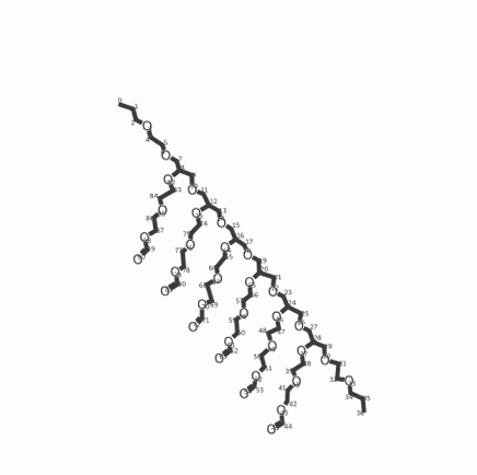 CCCOCCOCC(COCC(COCC(COCC(COCC(COCC(COCCOCCC)OCCOCCOC=O)OCCOCCOC=O)OCCOCCOC=O)OCCOCCOC=O)OCCOCCOC=O)OCCOCCOC=O